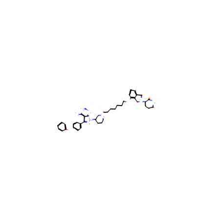 Nc1ncnc2c1c(-c1ccc(Oc3ccccc3)cc1)nn2C1CCCN(C(=O)CCCCCCSc2ccc(F)c3c2C(=O)N(C2CCC(=O)NC2=O)C3=O)C1